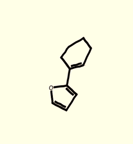 [C]1=C(c2ccco2)CCCC1